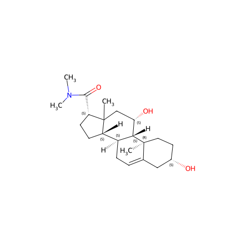 CN(C)C(=O)[C@H]1CC[C@H]2[C@@H]3CC=C4C[C@@H](O)CC[C@]4(C)[C@H]3[C@@H](O)CC12C